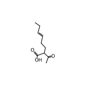 CCC=CCCC(C(C)=O)C(=O)O